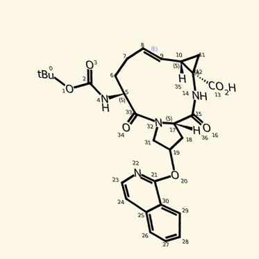 CC(C)(C)OC(=O)N[C@H]1CC/C=C/[C@@H]2C[C@@]2(C(=O)O)NC(=O)[C@@H]2CC(Oc3nccc4ccccc34)CN2C1=O